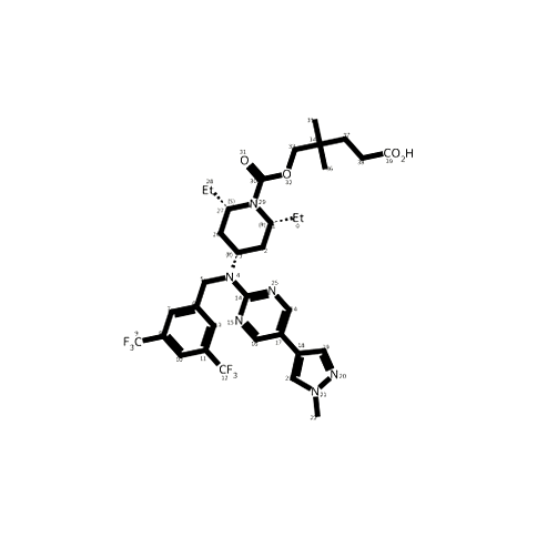 CC[C@@H]1C[C@H](N(Cc2cc(C(F)(F)F)cc(C(F)(F)F)c2)c2ncc(-c3cnn(C)c3)cn2)C[C@H](CC)N1C(=O)OCC(C)(C)CCC(=O)O